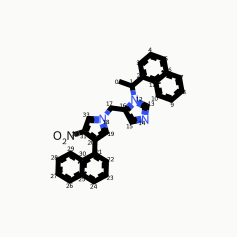 CC(c1cccc2ccccc12)n1cncc1Cn1cc(-c2cccc3ccccc23)c([N+](=O)[O-])c1